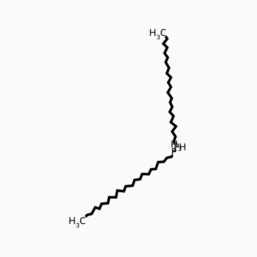 CCCCCCCCCCCCCCCCCCCCCCCP[PH3]CCCCCCCCCCCCCCCCCCCCCCC